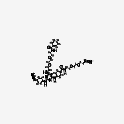 [N-]=[N+]=NCCOCCOCCNC(=O)c1ccc(Nc2nc(NCCOCCOCCNC(=O)c3ccccc3)nc(Nc3ccc(N=[N+]=[N-])cc3)n2)cc1